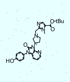 Cn1c(C(=O)OC(C)(C)C)cnc1CN1CC[C@H](n2c(=O)n(-c3ccc(O)cc3)c3cccnc32)C1